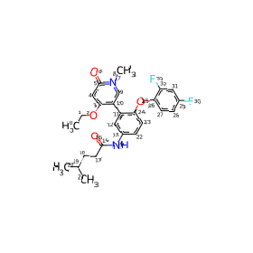 CCOc1cc(=O)n(C)cc1-c1cc(NC(=O)CCC(C)C)ccc1Oc1ccc(F)cc1F